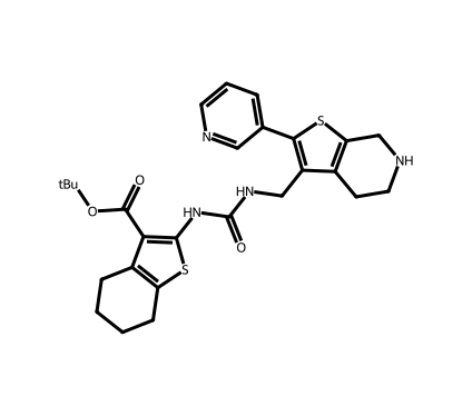 CC(C)(C)OC(=O)c1c(NC(=O)NCc2c(-c3cccnc3)sc3c2CCNC3)sc2c1CCCC2